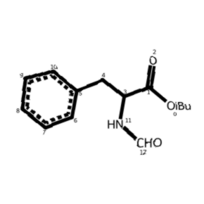 CC(C)COC(=O)C(Cc1ccccc1)NC=O